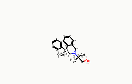 COc1ccccc1[Si]1(C)CN(C(C)(C)CO)Cc2ccccc21